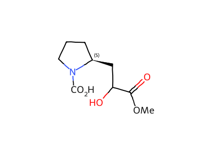 COC(=O)C(O)C[C@@H]1CCCN1C(=O)O